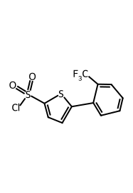 O=S(=O)(Cl)c1ccc(-c2ccccc2C(F)(F)F)s1